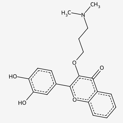 CN(C)CCCOc1c(-c2ccc(O)c(O)c2)oc2ccccc2c1=O